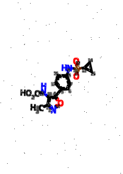 Cc1noc(-c2ccc(NS(=O)(=O)C3CC3)cc2)c1NC(=O)O